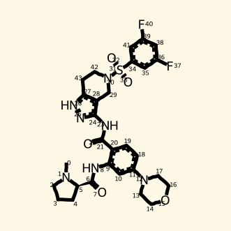 CN1CCC[C@@H]1C(=O)Nc1cc(N2CCOCC2)ccc1C(=O)Nc1n[nH]c2c1CN(S(=O)(=O)c1cc(F)cc(F)c1)CC2